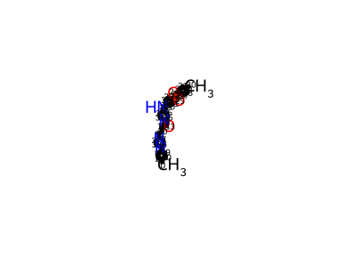 Cc1ccc(N2CCN(CCCC(=O)N3CCC(Nc4ccc(S(=O)(=O)c5ccc(C)cc5)cc4)CC3)CC2)cc1